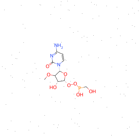 COC1[C@@H](O)[C@@H](OOP(O)CO)O[C@H]1n1ccc(N)nc1=O